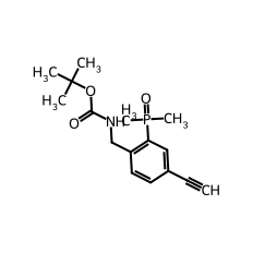 C#Cc1ccc(CNC(=O)OC(C)(C)C)c(P(C)(C)=O)c1